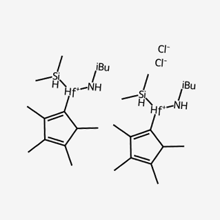 CCC(C)[NH][Hf+]([C]1=C(C)C(C)=C(C)C1C)[SiH](C)C.CCC(C)[NH][Hf+]([C]1=C(C)C(C)=C(C)C1C)[SiH](C)C.[Cl-].[Cl-]